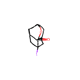 O=C1OC2CC3CC(C2)CC1(I)C3